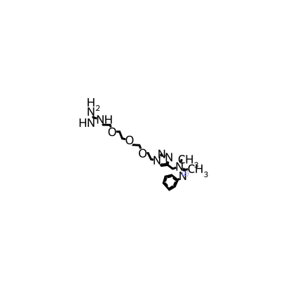 C/C(=N/c1ccccc1)N(C)Cc1cn(CCOCCOCCOCCNC(=N)N)nn1